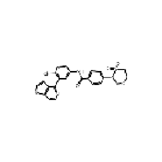 O=C(Nc1ccc(Cl)c(-c2nccc3sccc23)c1)c1ccc(N2COCCS2(=O)=O)cc1